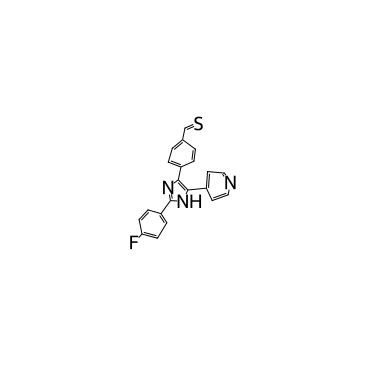 Fc1ccc(-c2nc(-c3ccc(C=S)cc3)c(-c3ccncc3)[nH]2)cc1